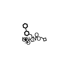 CS(=O)(=O)NC1CCN(C(=O)OCC2CCC2)C1Cc1cccc(-c2ccccc2)c1